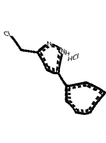 Cl.ClCc1cc(-c2ccccc2)[nH]n1